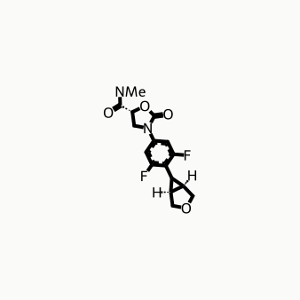 CNC(=O)[C@H]1CN(c2cc(F)c(C3[C@H]4COC[C@@H]34)c(F)c2)C(=O)O1